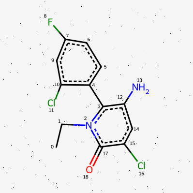 CCn1c(-c2ccc(F)cc2Cl)c(N)cc(Cl)c1=O